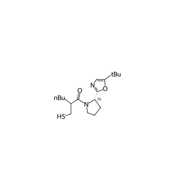 CCCCC(CS)C(=O)N1CCC[C@H]1c1ncc(C(C)(C)C)o1